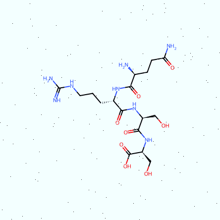 N=C(N)NCCC[C@H](NC(=O)[C@@H](N)CCC(N)=O)C(=O)N[C@@H](CO)C(=O)N[C@@H](CO)C(=O)O